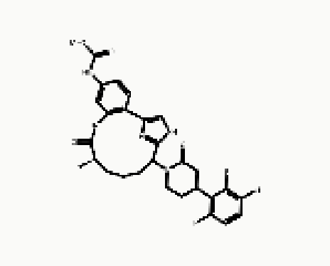 COC(=O)Nc1ccc2c(c1)NC(=O)[C@H](C)CCCC(N1CCC(c3c(F)ccc(Cl)c3F)CC1=O)c1nc-2c[nH]1